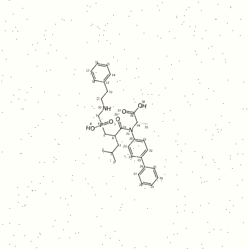 CC(C)CC(CP(=O)(O)CNCCc1ccccc1)C(=O)N(c1ccc(-c2ccccc2)cc1)[C@@H](C)C(=O)O